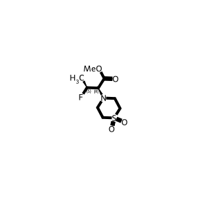 COC(=O)[C@H]([C@H](C)F)N1CCS(=O)(=O)CC1